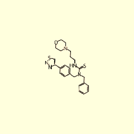 S=C(NCCCN1CCOCC1)N(Cc1ccccc1)Cc1ccc(-c2csnn2)cc1